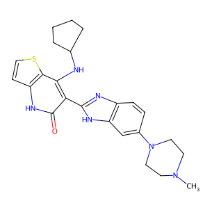 CN1CCN(c2ccc3nc(-c4c(NC5CCCC5)c5sccc5[nH]c4=O)[nH]c3c2)CC1